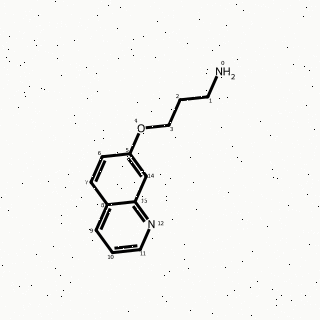 NCCCOc1ccc2cccnc2c1